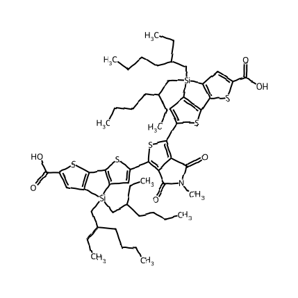 CCCCC(CC)C[Si]1(CC(CC)CCCC)c2cc(C(=O)O)sc2-c2sc(-c3sc(-c4cc5c(s4)-c4sc(C(=O)O)cc4[Si]5(CC(CC)CCCC)CC(CC)CCCC)c4c3C(=O)N(C)C4=O)cc21